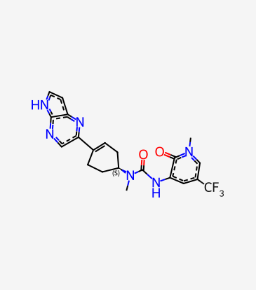 CN(C(=O)Nc1cc(C(F)(F)F)cn(C)c1=O)[C@@H]1CC=C(c2cnc3[nH]ccc3n2)CC1